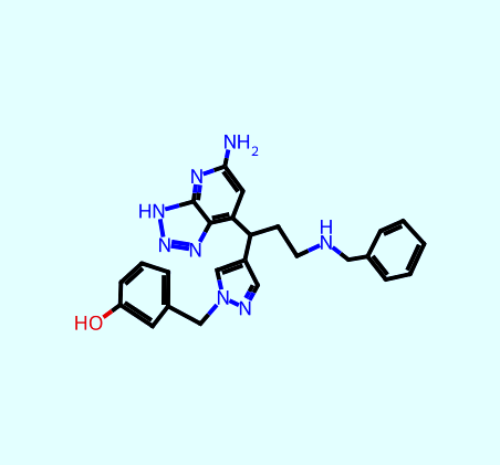 Nc1cc(C(CCNCc2ccccc2)c2cnn(Cc3cccc(O)c3)c2)c2nn[nH]c2n1